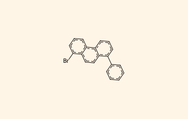 Brc1cccc2c1ccc1c(-c3ccccc3)cccc12